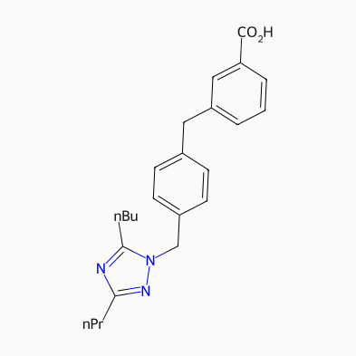 CCCCc1nc(CCC)nn1Cc1ccc(Cc2cccc(C(=O)O)c2)cc1